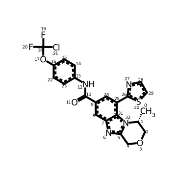 C[C@@H]1COCc2nc3cc(C(=O)Nc4ccc(OC(F)(F)Cl)cc4)cc(-c4nccs4)c3n21